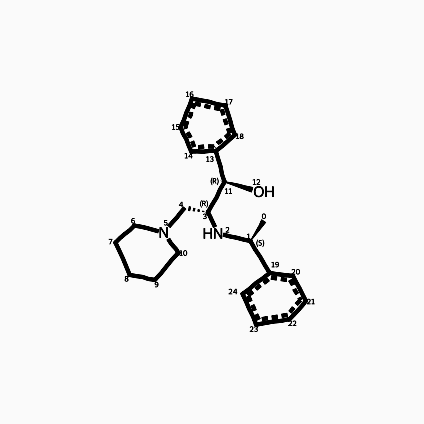 C[C@H](N[C@H](CN1CCCCC1)[C@H](O)c1ccccc1)c1ccccc1